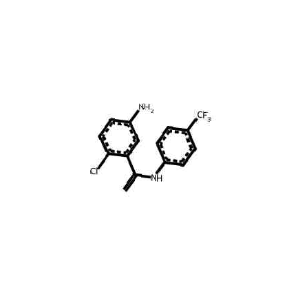 C=C(Nc1ccc(C(F)(F)F)cc1)c1cc(N)ccc1Cl